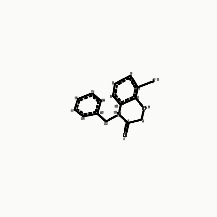 O=C1COc2c(F)cccc2N1Cc1ccccc1